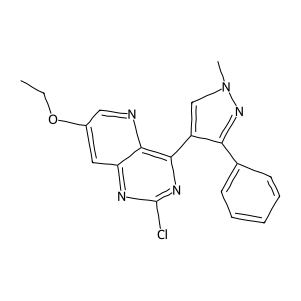 CCOc1cnc2c(-c3cn(C)nc3-c3ccccc3)nc(Cl)nc2c1